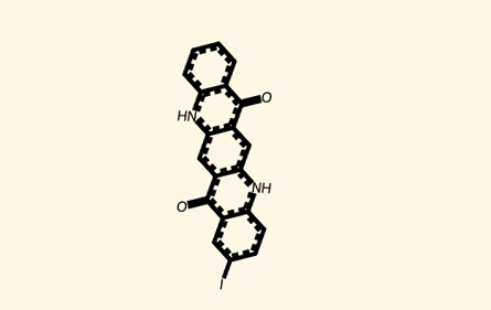 O=c1c2ccccc2[nH]c2cc3c(=O)c4cc(I)ccc4[nH]c3cc12